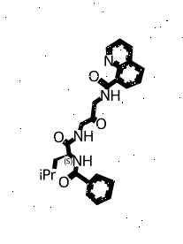 CC(C)C[C@H](NC(=O)c1ccccc1)C(=O)NCC(=O)CNC(=O)c1cccc2cccnc12